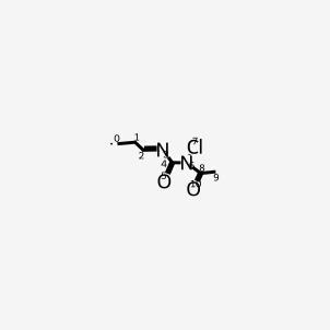 [CH2]CC=NC(=O)N(Cl)C(C)=O